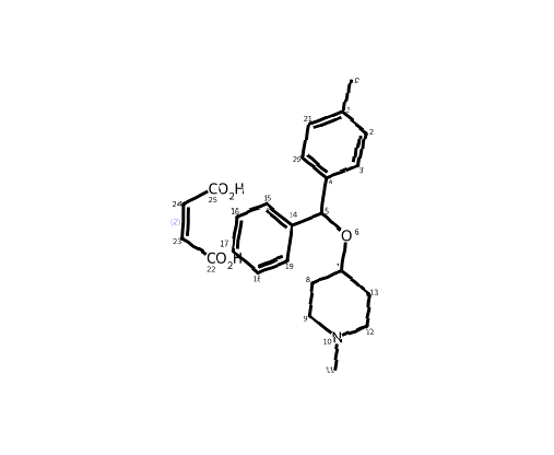 Cc1ccc(C(OC2CCN(C)CC2)c2ccccc2)cc1.O=C(O)/C=C\C(=O)O